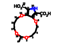 CC1OCCCOc2c(C(=O)O)[nH]c(C(=O)O)c2OCCCO1